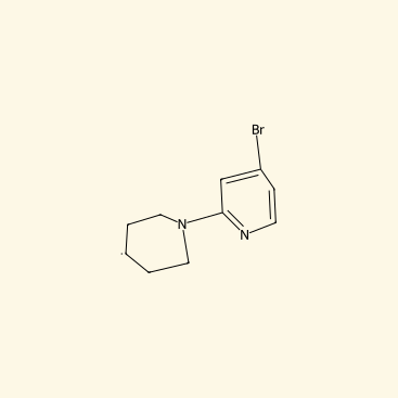 Brc1ccnc(N2CC[CH]CC2)c1